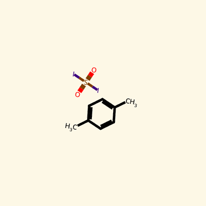 Cc1ccc(C)cc1.O=S(=O)(I)I